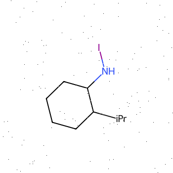 CC(C)C1CCCCC1NI